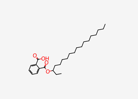 CCCCCCCCCCCCCCCC(CC)OC(=O)c1ccccc1C(=O)O